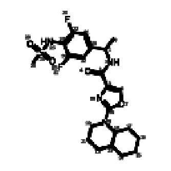 CC(NC(=O)c1coc(N2CCCC3CCCCC32)n1)c1cc(F)c(NS(C)(=O)=O)c(F)c1